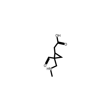 CNCC1(C=O)CC1CC(=O)O